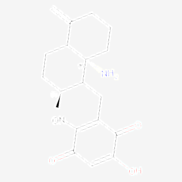 C=C1CCC[C@]2(N)C1CC[C@H](C)C2CC1=C(N=O)C(=O)C=C(O)C1=O